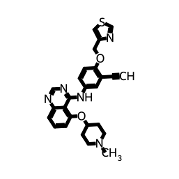 C#Cc1cc(Nc2ncnc3cccc(OC4CCN(C)CC4)c23)ccc1OCc1cscn1